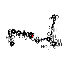 Cc1c(-c2ccc(-c3ccc4c(c3)N(C(=O)Nc3nc5ccccc5s3)CCO4)nc2C(=O)O)cnn1CC12CC3(C)CC(C)(C1)C(OCCN(C)C(=O)OC/C=C/c1ccc(O[C@@H]4O[C@H](C(=O)O)[C@@H](O)[C@H](O)[C@H]4O)c(NC(=O)CCNC(=O)CCCCCN4C(=O)C=CC4=O)c1)(C3)C2